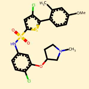 COc1ccc(-c2sc(S(=O)(=O)Nc3ccc(Cl)c(OC4CCN(C)C4)c3)cc2Cl)c(C)c1